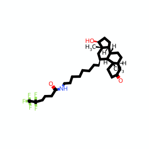 C[C@]12CCC(=O)C[C@@H]1CC[C@@H]1[C@@H]2[C@@H](CCCCCCCCNC(=O)CCCC(F)(F)C(F)(F)F)C[C@]2(C)[C@@H](O)CC[C@@H]12